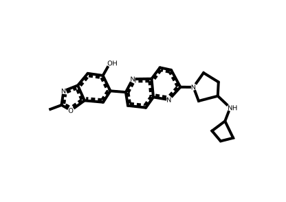 Cc1nc2cc(O)c(-c3ccc4nc(N5CCC(NC6CCC6)C5)ccc4n3)cc2o1